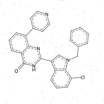 O=c1[nH]c(-c2cn(Cc3ccccc3)c3c(Cl)cccc23)nc2c(-c3ccncc3)cccc12